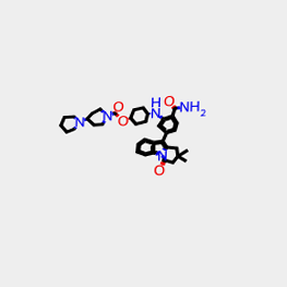 CC1(C)CC(=O)n2c(c(-c3ccc(C(N)=O)c(N[C@H]4CC[C@H](OC(=O)N5CCC(N6CCCCC6)CC5)CC4)c3)c3ccccc32)C1